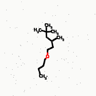 [CH2]CCCOCCC(C)CC(C)(C)C